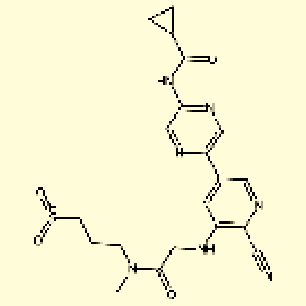 CN(CCC[SH](=O)=O)C(=O)CNc1cc(-c2cnc(NC(=O)C3CC3)cn2)cnc1C#N